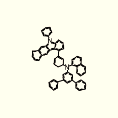 C1=CC(c2cccc3c2c2cc4ccccc4cc2n3-c2ccccc2)=CC(N(c2cc(-c3ccccc3)cc(-c3ccccc3)c2)c2cccc3ccccc23)C1